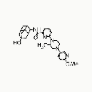 COc1ccc(N2CCN(c3cccc(C(=O)NC4C5CC6CC4CC(O)(C6)C5)n3)[C@H](C)C2)cn1